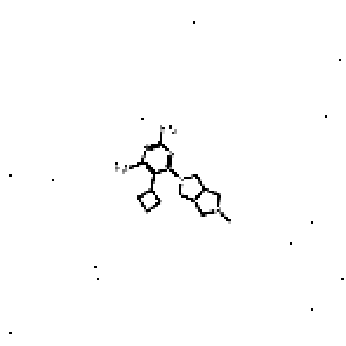 CN1CC2CN(c3nc(N)nc(N)c3C3CCC3)CC2C1